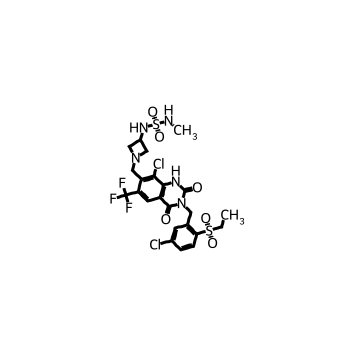 CCS(=O)(=O)c1ccc(Cl)cc1Cn1c(=O)[nH]c2c(Cl)c(CN3CC(NS(=O)(=O)NC)C3)c(C(F)(F)F)cc2c1=O